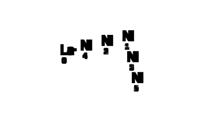 [La].[Ni].[Ni].[Ni].[Ni].[Ni]